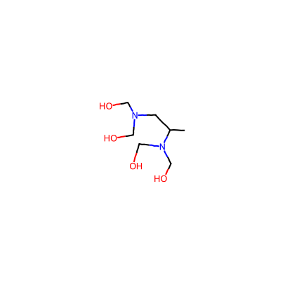 CC(CN(CO)CO)N(CO)CO